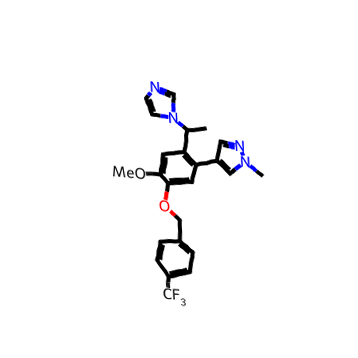 COc1cc(C(C)n2ccnc2)c(-c2cnn(C)c2)cc1OCc1ccc(C(F)(F)F)cc1